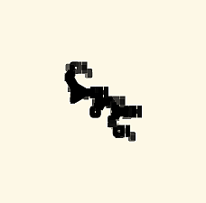 CCC1CC1NC(=O)NC(=N)SC